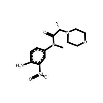 C[C@@H](C(=O)N(C)c1ccc(N)c([N+](=O)[O-])c1)N1CCOCC1